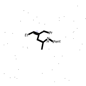 CC/C=C(/CC(C)C)CC(C)NC(C)CCC